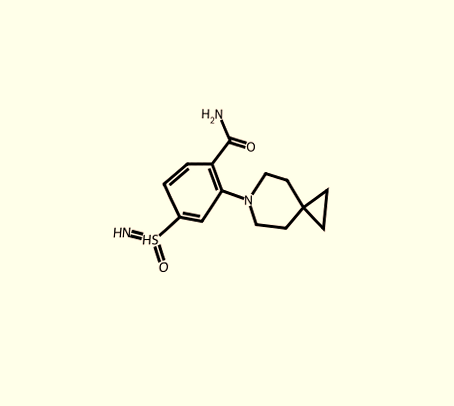 N=[SH](=O)c1ccc(C(N)=O)c(N2CCC3(CC2)CC3)c1